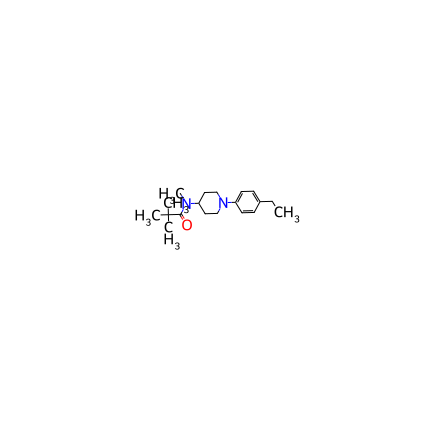 CCc1ccc(N2CCC(N(C)C(=O)C(C)(C)C)CC2)cc1